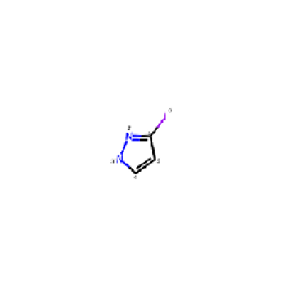 IC1=N[N]C=C1